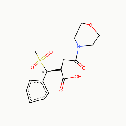 CS(=O)(=O)[C@H](c1ccccc1)C(CC(=O)N1CCOCC1)C(=O)O